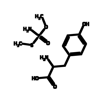 COP(N)(=O)SC.NC(Cc1ccc(O)cc1)C(=O)O